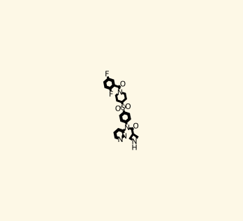 O=C(c1cc(F)ccc1F)N1CCC(S(=O)(=O)c2ccc(N(C(=O)C3CNC3)c3cccnn3)cc2)CC1